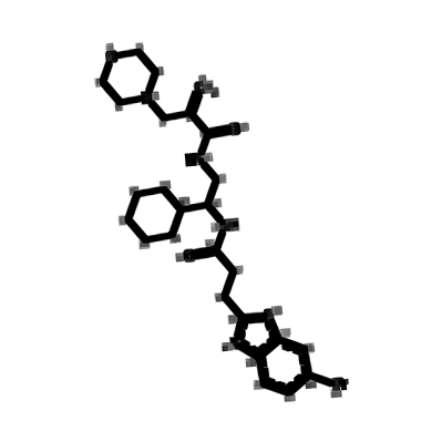 C=C(CN1CCOCC1)C(=O)NCC(NC(=O)CCc1nc2ccc(C(C)C)cc2s1)C1CCCCC1